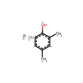 Cc1ccc(O)c(C)c1.Cl.[Zr]